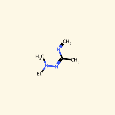 C=N/C(C)=N\N(C)CC